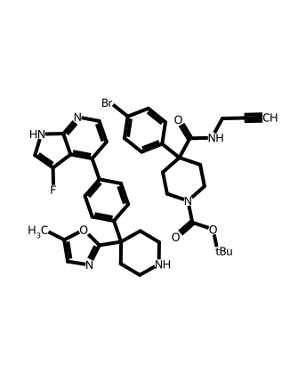 C#CCNC(=O)C1(c2ccc(Br)cc2)CCN(C(=O)OC(C)(C)C)CC1.Cc1cnc(C2(c3ccc(-c4ccnc5[nH]cc(F)c45)cc3)CCNCC2)o1